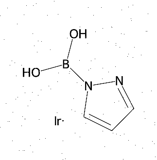 OB(O)n1cccn1.[Ir]